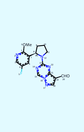 COc1ncc(F)cc1[C@H]1CCCN1c1ncn2ncc(C=O)c2n1